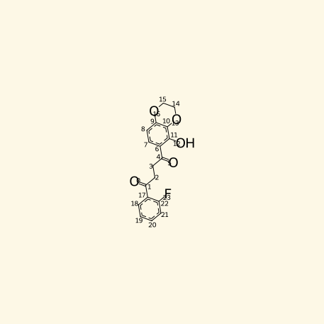 O=C(CCC(=O)c1ccc2c(c1O)OCCO2)c1ccccc1F